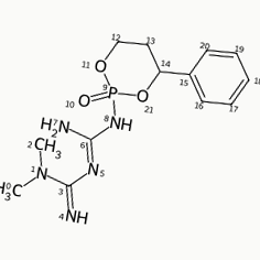 CN(C)C(=N)/N=C(\N)NP1(=O)OCCC(c2ccccc2)O1